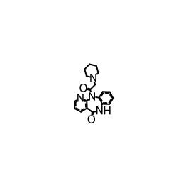 O=C1Nc2ccccc2N(C(=O)CN2CCCCC2)c2ncccc21